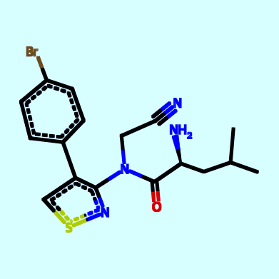 CC(C)C[C@H](N)C(=O)N(CC#N)c1nscc1-c1ccc(Br)cc1